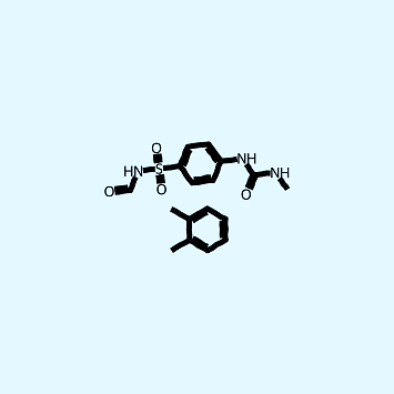 CNC(=O)Nc1ccc(S(=O)(=O)NC=O)cc1.Cc1ccccc1C